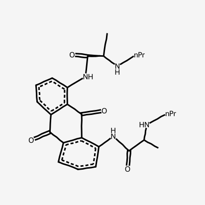 CCCNC(C)C(=O)Nc1cccc2c1C(=O)c1c(NC(=O)C(C)NCCC)cccc1C2=O